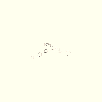 CC1CCN(C[C@@H]2CCN(c3ccc4c(n3)Cn3cc(-c5ccc(C#N)cc5)cc3-c3nccn3-4)C2)CC1